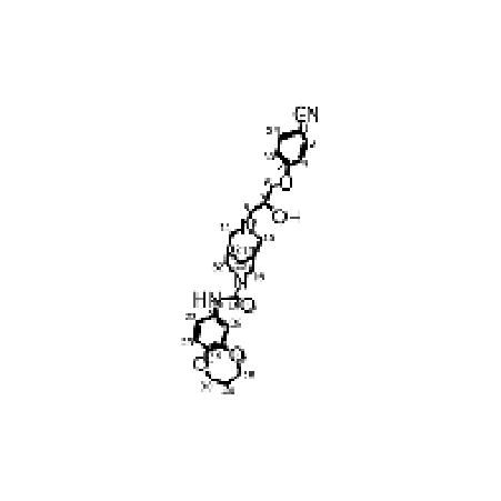 N#Cc1ccc(OCC(O)CN2CC3CC(C2)CN(C(=O)Nc2ccc4c(c2)OCCCO4)C3)cc1